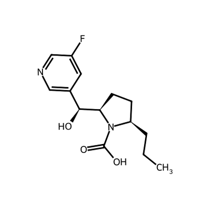 CCC[C@@H]1CC[C@H]([C@@H](O)c2cncc(F)c2)N1C(=O)O